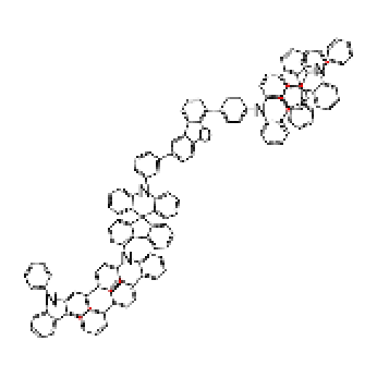 C1=C(c2cccc3c2oc2ccc(-c4cccc(N5c6ccccc6C6(c7ccccc7-c7c(N(c8ccc(-c9ccc%10c%11ccccc%11n(-c%11ccccc%11)c%10c9)cc8)c8ccccc8-c8ccc(-c9ccccc9)cc8)cccc76)c6ccccc65)c4)cc23)CCC(N(c2ccccc2-c2ccc(-c3ccccc3)cc2)c2cccc3c2-c2ccccc2C32c3ccccc3N(c3ccccc3)c3ccccc32)=C1